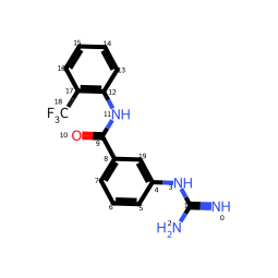 N=C(N)Nc1cccc(C(=O)Nc2ccc[c]c2C(F)(F)F)c1